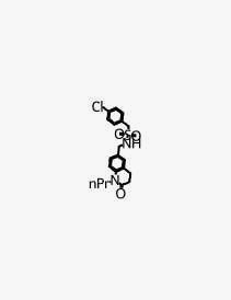 CCCN1C(=O)CCc2cc(CNS(=O)(=O)Cc3ccc(Cl)cc3)ccc21